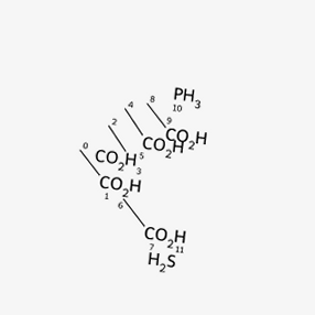 CC(=O)O.CC(=O)O.CC(=O)O.CC(=O)O.CC(=O)O.P.S